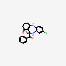 CC1(C(=O)c2ccccc2)Nc2cc(Cl)ccc2NC2=C1C(=O)CCC2